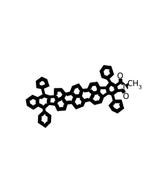 CN1C(=O)c2c(c(-c3ccccc3)c3c(c2-c2ccccc2)-c2ccc4c5ccc6c7ccc8c9c(ccc(c%10ccc(c%11ccc-3c2c4%11)c5c6%10)c97)-c2c-8c(-c3ccccc3)c3ccccc3c2-c2ccccc2)C1=O